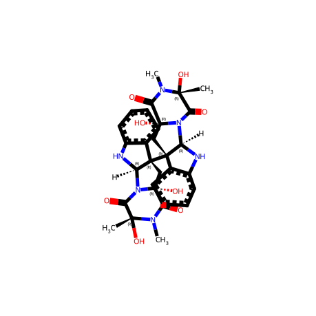 CN1C(=O)[C@]2(O)C[C@]3([C@]45C[C@@]6(O)C(=O)N(C)[C@](C)(O)C(=O)N6[C@H]4Nc4ccccc45)c4ccccc4N[C@@H]3N2C(=O)[C@@]1(C)O